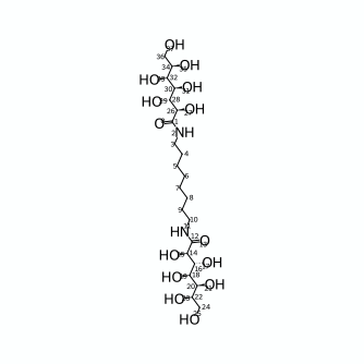 O=C(NCCCCCCCCNC(=O)[C@H](O)[C@H](O)[C@H](O)[C@@H](O)[C@H](O)CO)[C@H](O)[C@H](O)[C@H](O)[C@@H](O)[C@H](O)CO